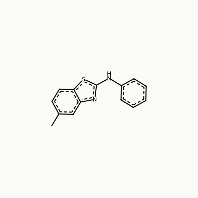 Cc1ccc2sc(Nc3ccccc3)nc2c1